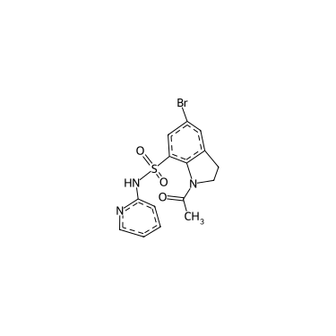 CC(=O)N1CCc2cc(Br)cc(S(=O)(=O)Nc3ccccn3)c21